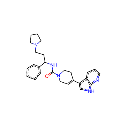 O=C(NC(CCN1CCCC1)c1ccccc1)N1CC=C(c2c[nH]c3ncccc23)CC1